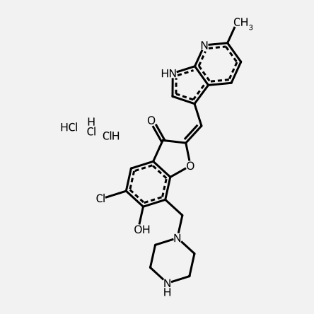 Cc1ccc2c(C=C3Oc4c(cc(Cl)c(O)c4CN4CCNCC4)C3=O)c[nH]c2n1.Cl.Cl.Cl